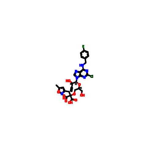 C#C[C@@H](O)[C@@H](O[C@@H](CO)COC(Cc1cc(C)on1)(C(=O)O)C(=O)O)n1cnc2c(NCc3ccc(F)cc3)nc(Cl)nc21